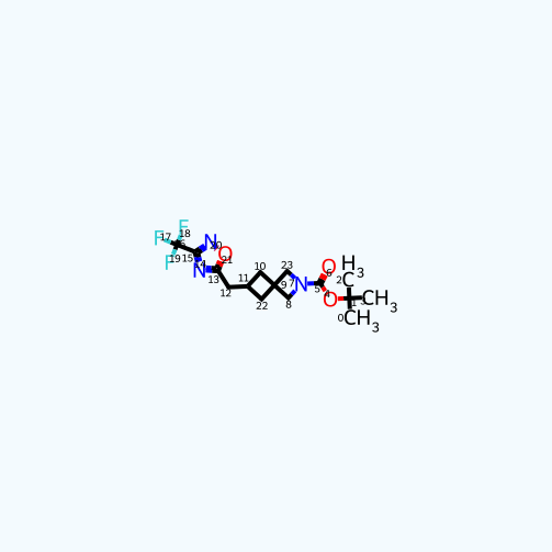 CC(C)(C)OC(=O)N1CC2(CC(Cc3nc(C(F)(F)F)no3)C2)C1